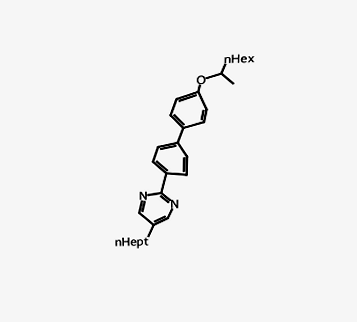 CCCCCCCc1cnc(-c2ccc(-c3ccc(OC(C)CCCCCC)cc3)cc2)nc1